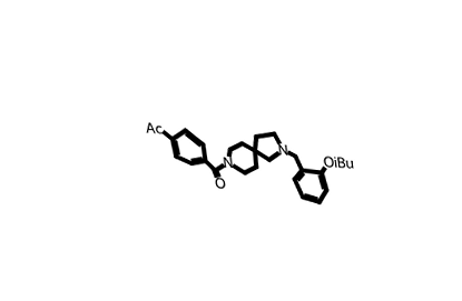 CC(=O)c1ccc(C(=O)N2CCC3(CCN(Cc4ccccc4OCC(C)C)C3)CC2)cc1